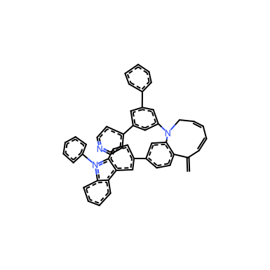 C=C1/C=C\C=C/CN(c2cc(-c3ccccc3)cc(-c3ccncc3)c2)c2cc(-c3ccc4c(c3)c3ccccc3n4-c3ccccc3)ccc21